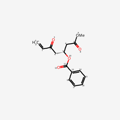 C=CC(=O)C[C@H](CC(=O)OC)OC(=O)c1ccccc1